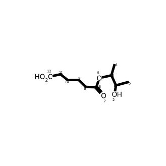 CC(O)C(C)OC(=O)CCCCC(=O)O